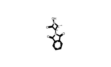 C[C@@H]1[C@@H](N2C(=O)c3ccccc3C2=O)C(=O)N1O